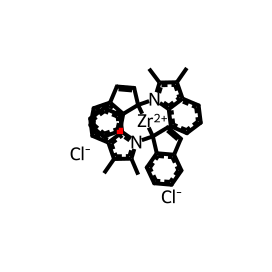 Cc1c(C)n([C]2([Zr+2][C]3(n4c(C)c(C)c5ccccc54)C=Cc4ccccc43)C=Cc3ccccc32)c2ccccc12.[Cl-].[Cl-]